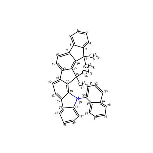 CC1(C)c2ccccc2-c2ccc3c(c21)C(C)(C)c1c-3ccc2c3ccccc3n(-c3cccc4ccccc34)c12